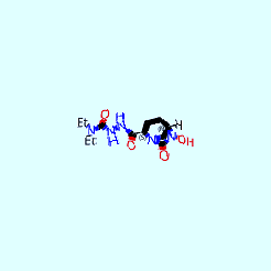 CCN(CC)C(=O)NNC(=O)[C@@H]1CC[C@@H]2CN1C(=O)N2O